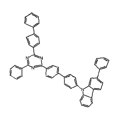 c1ccc(-c2ccc(-c3nc(-c4ccccc4)nc(-c4ccc(-c5ccc(-n6c7ccccc7c7ccc(-c8ccccc8)cc76)cc5)cc4)n3)cc2)cc1